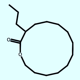 CCCC1CCCCCCCCCCCOC1=O